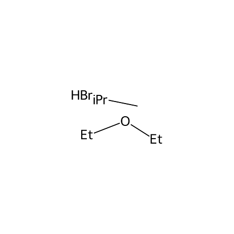 Br.CC(C)C.CCOCC